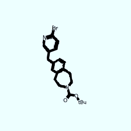 CC(C)(C)OC(=O)N1CCc2ccc(Cc3ccc(Br)nc3)cc2CC1